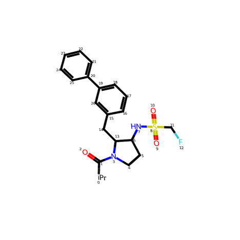 CC(C)C(=O)N1CCC(NS(=O)(=O)CF)C1Cc1cccc(-c2ccccc2)c1